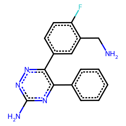 NCc1cc(-c2nnc(N)nc2-c2ccccc2)ccc1F